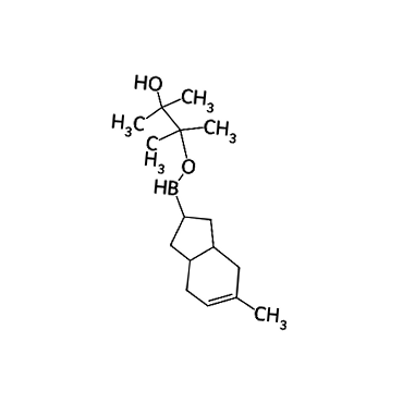 CC1=CCC2CC(BOC(C)(C)C(C)(C)O)CC2C1